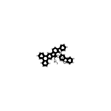 CC1(C)C2=C(CCc3c2n(-c2ccc4oc5ccccc5c4c2)c2ccccc32)c2cc3c4ccccc4c4ccccc4c3cc21